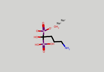 NCCCC(O)(P(=O)([O-])[O-])P(=O)(O)O.O.[Na+].[Na+]